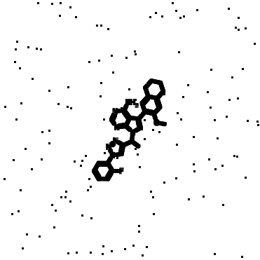 COc1cc2c(cc1-c1cn(C(C)c3cn(-c4ccccc4F)nn3)c3ncnc(N)c13)CCCC2